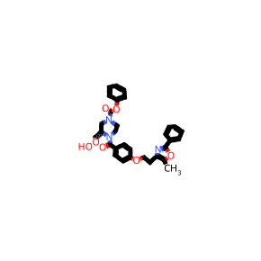 Cc1oc(-c2ccccc2)nc1CCOc1ccc(C(=O)N2CCN(C(=O)Oc3ccccc3)C/C2=C/OO)cc1